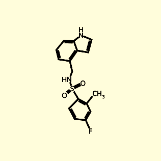 Cc1cc(F)ccc1S(=O)(=O)NCc1cccc2[nH]ccc12